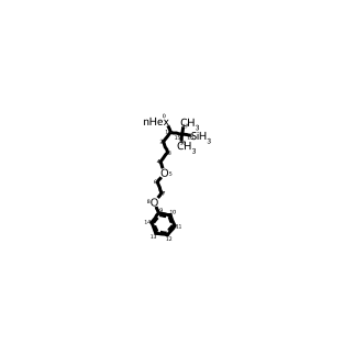 CCCCCCC(CCCOCCOc1ccccc1)C(C)(C)[SiH3]